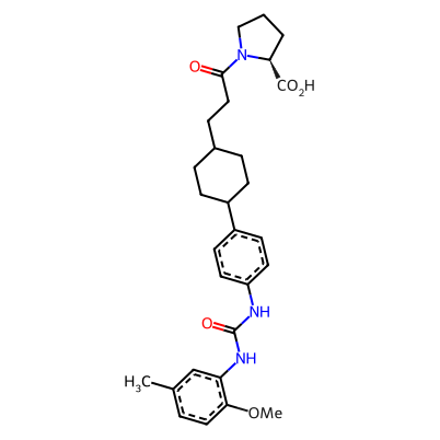 COc1ccc(C)cc1NC(=O)Nc1ccc(C2CCC(CCC(=O)N3CCC[C@H]3C(=O)O)CC2)cc1